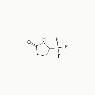 O=C1C[CH]C(C(F)(F)F)N1